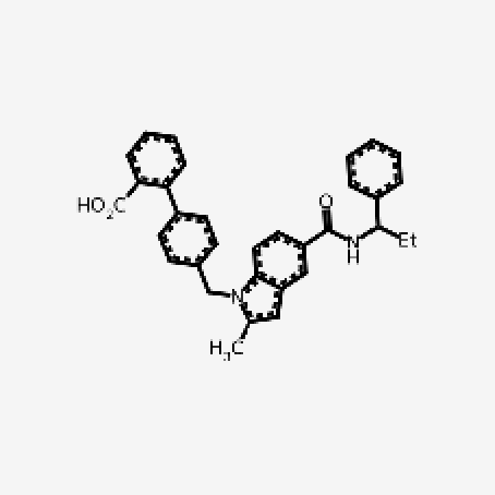 CCC(NC(=O)c1ccc2c(c1)cc(C)n2Cc1ccc(-c2ccccc2C(=O)O)cc1)c1ccccc1